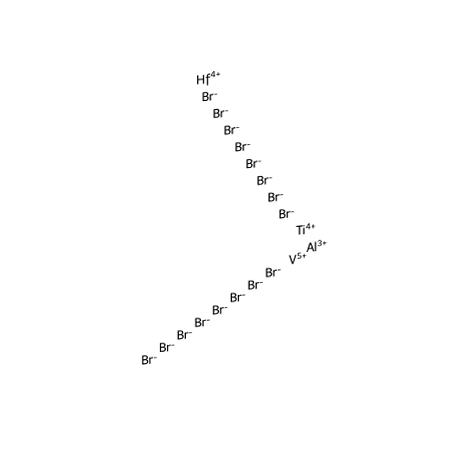 [Al+3].[Br-].[Br-].[Br-].[Br-].[Br-].[Br-].[Br-].[Br-].[Br-].[Br-].[Br-].[Br-].[Br-].[Br-].[Br-].[Br-].[Hf+4].[Ti+4].[V+5]